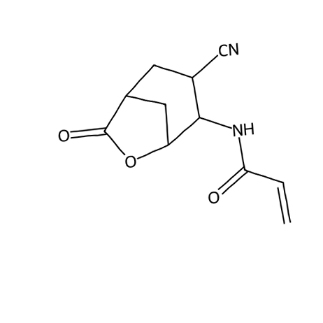 C=CC(=O)NC1C(C#N)CC2CC1OC2=O